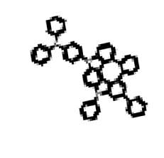 c1ccc(-c2cc3c4ccccc4c4cccc5c4c4c6c3c(c2)n(-c2ccccc2)c6ccc4n5-c2ccc(N(c3ccccc3)c3ccccc3)cc2)cc1